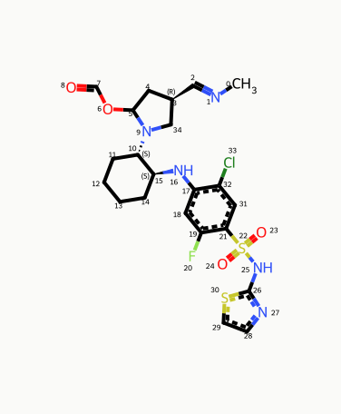 CN=C[C@@H]1CC(OC=O)N([C@H]2CCCC[C@@H]2Nc2cc(F)c(S(=O)(=O)Nc3nccs3)cc2Cl)C1